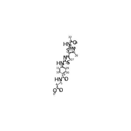 COC(=O)CCNC(=O)c1ccc(Nc2nc(-c3sc(NC(C)=O)nc3C)cs2)cc1